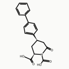 O=C(O)[C@H]1C[C@@H](c2ccc(-c3ccccc3)cc2)CC(=O)N1C(=O)O